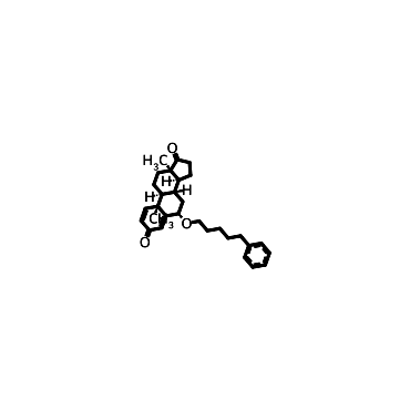 C[C@]12C=CC(=O)C=C1[C@H](OCCCCCc1ccccc1)C[C@@H]1[C@@H]2CC[C@]2(C)C(=O)CC[C@@H]12